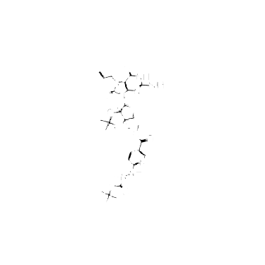 C=CCn1c(=O)n([C@@H]2O[C@H](COC(=O)c3ccc(NNC(=O)OC(C)(C)C)nc3)[C@H]3OC(C)(C)O[C@H]32)c2nc(N)[nH]c(=O)c21